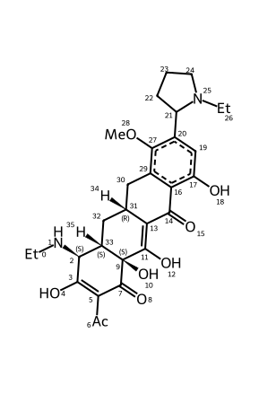 CCN[C@@H]1C(O)=C(C(C)=O)C(=O)[C@@]2(O)C(O)=C3C(=O)c4c(O)cc(C5CCCN5CC)c(OC)c4C[C@H]3C[C@@H]12